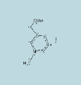 COCc1ccc[n+](C)c1.[I-]